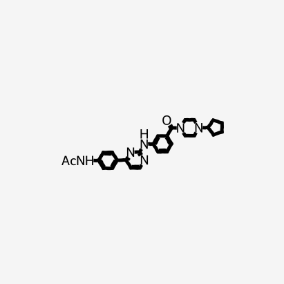 CC(=O)Nc1ccc(-c2ccnc(Nc3cccc(C(=O)N4CCN(C5CCCC5)CC4)c3)n2)cc1